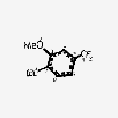 COc1cc(C(F)(F)F)ccc1C(C)(C)C